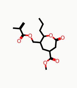 C=C(C)C(=O)OCC1CC(C(=O)OC)CC(=O)OC1CCC